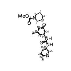 COC(=O)N1CCC[C@H](Oc2cc(F)cc(NC(=O)Nc3ccc(C)nc3)c2)C1